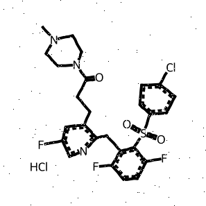 CN1CCN(C(=O)CCc2cc(F)cnc2Cc2c(F)ccc(F)c2S(=O)(=O)c2ccc(Cl)cc2)CC1.Cl